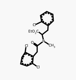 CCOC(=O)C(Cc1ccccc1Cl)N(C)C(=O)Cc1c(Cl)cccc1Cl